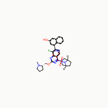 CN1CCC[C@H]1COc1nc(N2C[C@H]3CC[C@@H](C2)N3S(=O)(=O)N[C@@H]2CCNC2)c2ccc(-c3cc(O)cc4ccccc34)c(F)c2n1